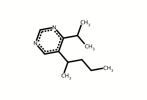 CCCC(C)c1cncnc1C(C)C